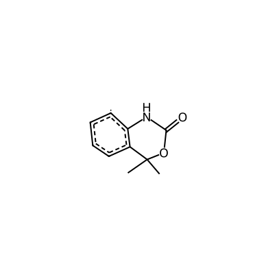 CC1(C)OC(=O)Nc2[c]cccc21